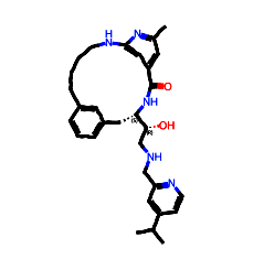 Cc1cc2cc(n1)NCCCCc1cccc(c1)C[C@@H]([C@H](O)CNCc1cc(C(C)C)ccn1)NC2=O